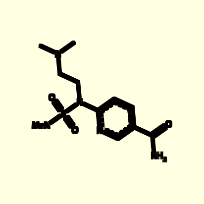 CNS(=O)(=O)N(CCN(C)C)c1ccc(C(N)=O)cn1